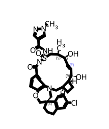 C[C@@H]1C[S@@](=O)(NC(=O)c2cnn(C)c2)=NC(=O)c2ccc3c(c2)N(C[C@@H]2CC[C@H]2[C@@H](O)/C=C/[C@@H]1O)C[C@@]1(CCCc2cc(Cl)ccc21)CO3